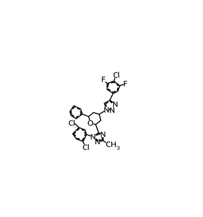 Cc1nc(C2CC(n3cc(-c4cc(F)c(Cl)c(F)c4)nn3)CC(c3ccccc3)O2)n(-c2cc(Cl)ccc2Cl)n1